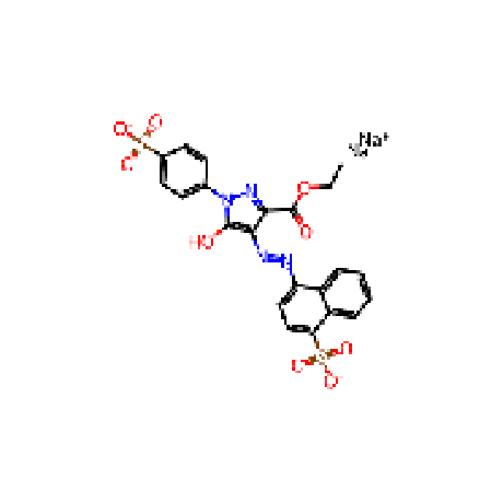 CCOC(=O)c1nn(-c2ccc(S(=O)(=O)[O-])cc2)c(O)c1/N=N/c1ccc(S(=O)(=O)[O-])c2ccccc12.[Na+].[Na+]